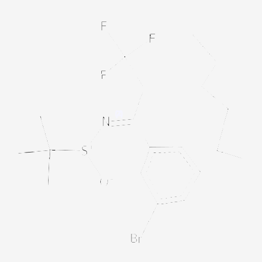 CC(C)(C)[S+]([O-])/N=C(/CC(F)(F)F)c1cccc(Br)c1.CCCCCC